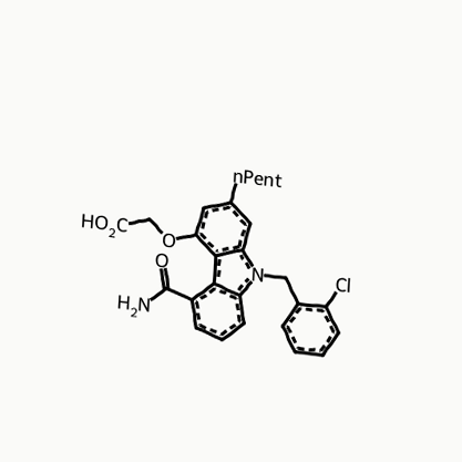 CCCCCc1cc(OCC(=O)O)c2c3c(C(N)=O)cccc3n(Cc3ccccc3Cl)c2c1